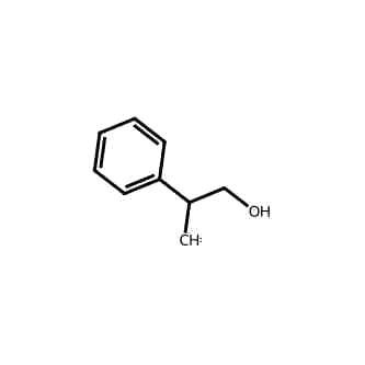 [CH]C(CO)c1ccccc1